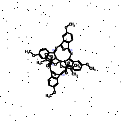 COc1ccc2c(c1)C1=NC/2=N\c2c3cc(OC)ccc3c3n2[Si](OS(=O)(=O)N(C)C)(OS(=O)(=O)N(C)C)n2/c(c4ccc(OC)cc4/c2=N/C2=NC(=N\3)/c3cc(OC)ccc32)=N\1